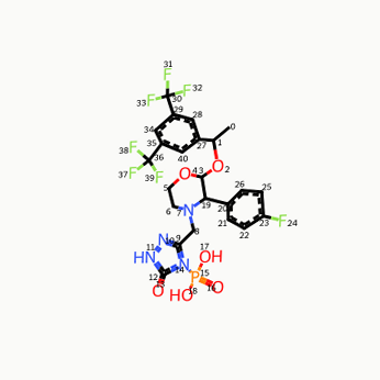 CC(OC1OCCN(Cc2n[nH]c(=O)n2P(=O)(O)O)C1c1ccc(F)cc1)c1cc(C(F)(F)F)cc(C(F)(F)F)c1